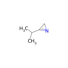 CC(C)C1=NC1